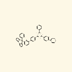 C1=Cc2c(oc3cc(-c4nc(-c5ccccc5)nc(-c5ccc(-c6cccc7c6Oc6ccccc6C76c7ccccc7-c7ccccc76)cc5)n4)ccc23)CC1